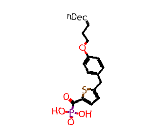 CCCCCCCCCCCCCOc1ccc(Cc2ccc(C(=O)P(=O)(O)O)s2)cc1